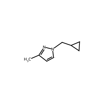 Cc1c[c]n(CC2CC2)n1